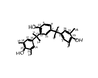 Cc1cc(C(C)(C)c2ccc(O)c(C(C)(C)c3cc(C)c(O)c(C)c3)c2)cc(C)c1O